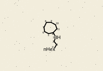 CCCCCCCCBC1CCCCCCC1